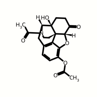 CC(=O)Oc1ccc2c3c1O[C@H]1C(=O)CC[C@@]4(O)[C@@H](C2)N(C(C)=O)CC[C@]314